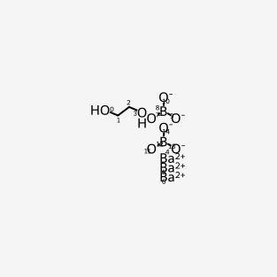 OCCO.[Ba+2].[Ba+2].[Ba+2].[O-]B([O-])[O-].[O-]B([O-])[O-]